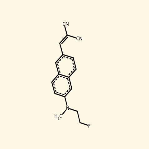 CN(CCF)c1ccc2cc(C=C(C#N)C#N)ccc2c1